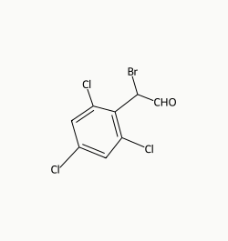 O=CC(Br)c1c(Cl)cc(Cl)cc1Cl